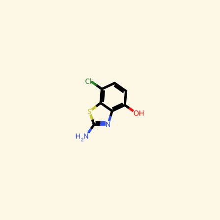 Nc1nc2c(O)ccc(Cl)c2s1